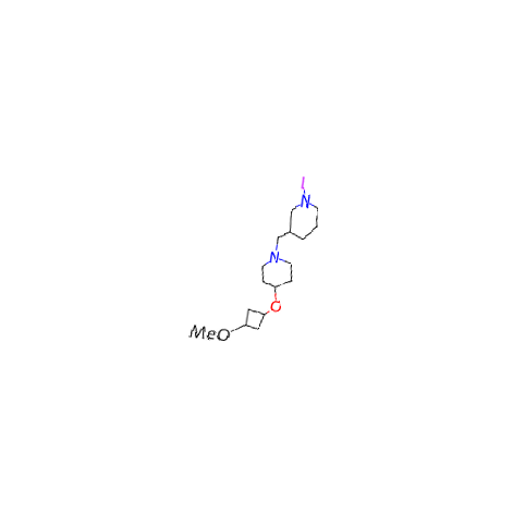 COC1CC(OC2CCN(CC3CCCN(I)C3)CC2)C1